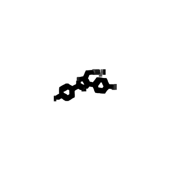 O=C(O)Cc1sc(-c2ccc(F)cc2)nc1-c1ccc(Cl)cc1